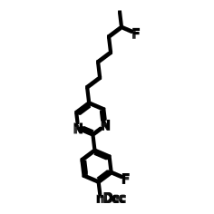 CCCCCCCCCCc1ccc(-c2ncc(CCCCCC(C)F)cn2)cc1F